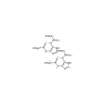 CCCCCCCC(=O)Oc1cc[nH]c1OC(=O)CCCCCCC.CCCCCCCC(=O)Oc1cc[nH]c1OC(=O)CCCCCCC